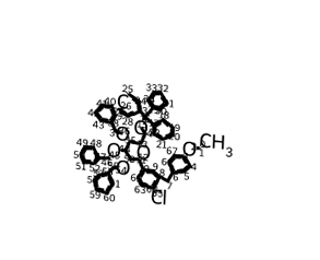 CCOc1ccc(Cc2cc(C3OC(COC(c4ccccc4)(c4ccccc4)c4ccccc4)C(OCc4ccccc4)C(OCc4ccccc4)C3OCc3ccccc3)ccc2Cl)cc1